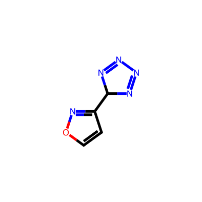 c1cc(C2N=NN=N2)no1